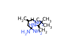 C=C(CN)CC(N)(N)NC(=C)C(C)(C)C